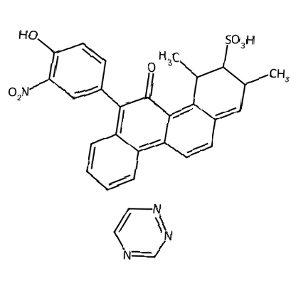 CC1C=c2ccc3c(c2C(C)C1S(=O)(=O)O)C(=O)C(c1ccc(O)c([N+](=O)[O-])c1)=c1ccccc1=3.c1cnncn1